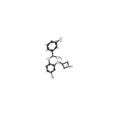 CC(Oc1ccc(Br)cc1OC1CNC1)c1cccc(Cl)c1